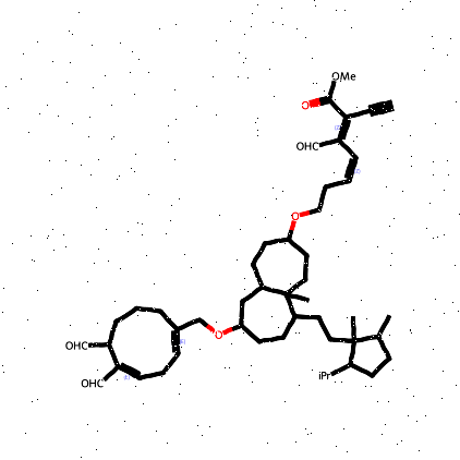 C#C/C(C(=O)OC)=C(C=O)\C=C/CCOC1CCC2CC(OC/C3=C/C/C=C(/C=O)C(C=O)CCC3)CCC(CCC3(C)C(C)CCC3C(C)C)C2(C)CC1